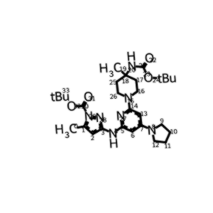 Cc1cc(Nc2cc(N3CCCC3)cc(N3CCC(C)(NC(=O)OC(C)(C)C)CC3)n2)nn1C(=O)OC(C)(C)C